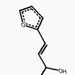 CC(O)C=Cc1ccco1